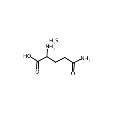 NC(=O)CCC(N)C(=O)O.S